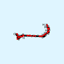 CC(=O)N1c2ccc(-c3ccc(C(=O)NCCOCCOCCOCCOCCOCCOCCOCCOCCNC(=O)c4cc(NC(=O)CCNC(=O)c5cc(NC(=O)c6cc(NC(=O)CCN)cn6C)cn5C)cn4C)cc3)cc2[C@H](Nc2ccc(Cl)cc2)C[C@@H]1C